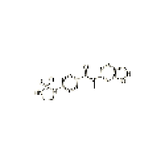 O=C(Nc1ccc2cnoc2c1)c1ccc(N2CCNS2(=O)=O)cc1